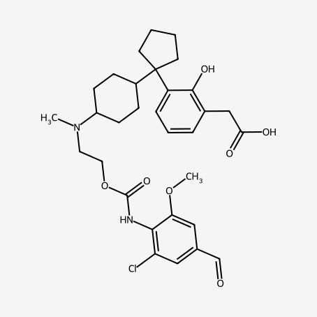 COc1cc(C=O)cc(Cl)c1NC(=O)OCCN(C)C1CCC(C2(c3cccc(CC(=O)O)c3O)CCCC2)CC1